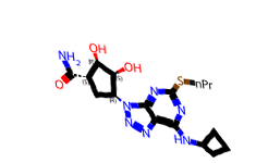 CCCSc1nc(NC2CCC2)c2nnn([C@@H]3C[C@H](C(N)=O)[C@@H](O)[C@H]3O)c2n1